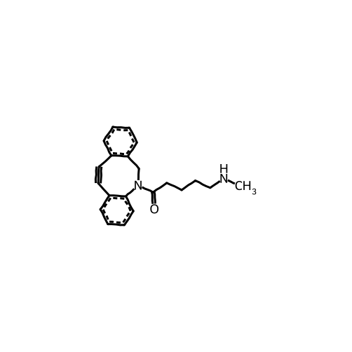 CNCCCCC(=O)N1Cc2ccccc2C#Cc2ccccc21